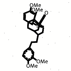 COC1=CC2=C3CC4CC2(C=C1)/C=C(/OC)[N+](=O)/C=C\3CC4CCc1ccc(OC)c(OC)c1